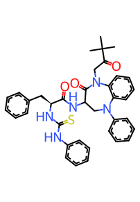 CC(C)(C)C(=O)CN1C(=O)C(NC(=O)[C@H](Cc2ccccc2)NC(=S)Nc2ccccc2)CN(c2ccccc2)c2ccccc21